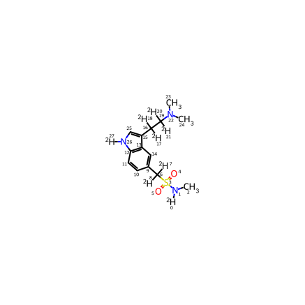 [2H]N(C)S(=O)(=O)C([2H])([2H])c1ccc2c(c1)c(C([2H])([2H])C([2H])([2H])N(C)C)cn2[2H]